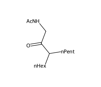 CCCCCCC(CCCCC)C(=O)CNC(C)=O